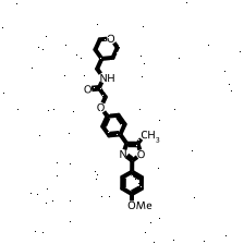 COc1ccc(-c2nc(-c3ccc(OCC(=O)NCC4CCOCC4)cc3)c(C)o2)cc1